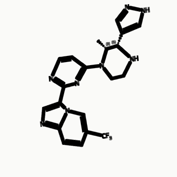 C[C@@H]1[C@H](c2cn[nH]c2)NCCN1c1ccnc(-c2cnc3ccc(C(F)(F)F)cn23)n1